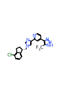 FC(F)(F)c1[nH]nnc1-c1ccnc(-c2cn(C[C@H]3CCc4c(Cl)cccc43)cn2)c1